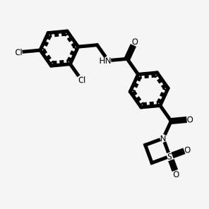 O=C(NCc1ccc(Cl)cc1Cl)c1ccc(C(=O)N2CCS2(=O)=O)cc1